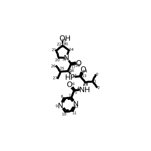 CC(C)[C@H](NC(=O)c1cnccn1)C(=O)P[C@H](C(=O)N1CC[C@@H](O)C1)C(C)C